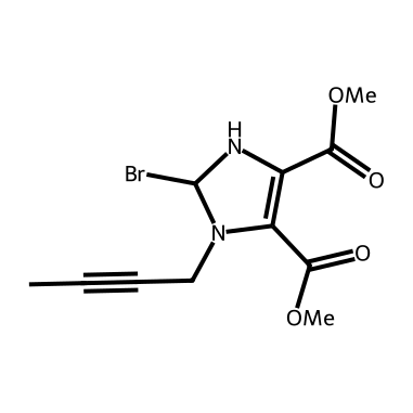 CC#CCN1C(C(=O)OC)=C(C(=O)OC)NC1Br